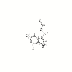 Cc1cc(Cl)cc2c(C(C)OC=O)c[nH]c12